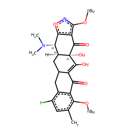 CCCCOc1noc2c1C(=O)[C@@]1(O)C(O)=C3C(=O)c4c(c(F)cc(C)c4OCCCC)CC3C[C@H]1[C@@H]2N(C)C